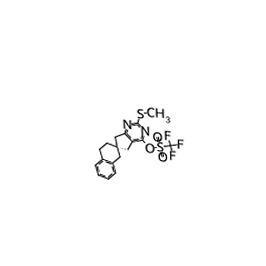 CSc1nc2c(c(OS(=O)(=O)C(F)(F)F)n1)C[C@]1(CCc3ccccc3C1)C2